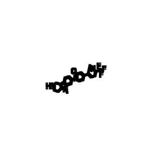 Cn1c2c(c3ccc(-n4ccc(C5=CC=C(C(F)(F)F)N6CC56)cc4=O)cc31)CNCC2